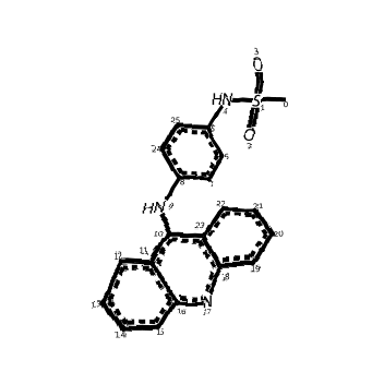 CS(=O)(=O)Nc1ccc(Nc2c3ccccc3nc3ccccc23)cc1